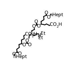 CCCCCCCOC(=O)CCCC(CCCC(=O)O)OC(=O)OCCN(CCOC(=O)OC(CCCC(=O)O)CCCC(=O)OCCCCCCC)CCN(CC)CC